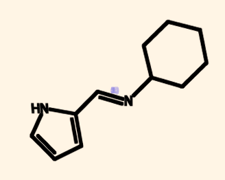 C(=N\C1CCCCC1)/c1ccc[nH]1